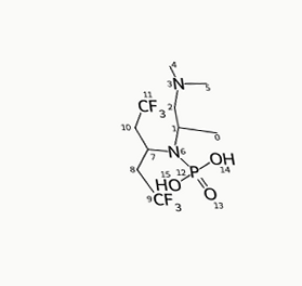 CC(CN(C)C)N(C(CC(F)(F)F)CC(F)(F)F)P(=O)(O)O